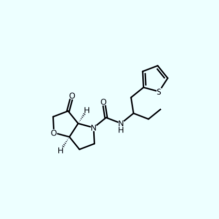 CCC(Cc1cccs1)NC(=O)N1CC[C@H]2OCC(=O)[C@H]21